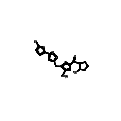 O=C(O)c1cc(C(=O)N2CCCC2C(F)(F)F)nn1Cc1cc(-c2ccc(Cl)s2)on1